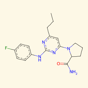 CCCc1cc(N2CCCC2C(N)=O)nc(Nc2ccc(F)cc2)n1